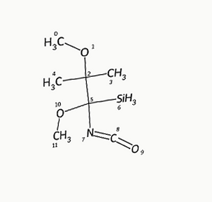 COC(C)(C)C([SiH3])(N=C=O)OC